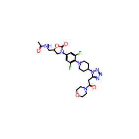 CC(=O)NCC1CN(c2cc(F)c(N3CCC(n4nnnc4CC(=O)N4CCOCC4)CC3)c(F)c2)C(=O)O1